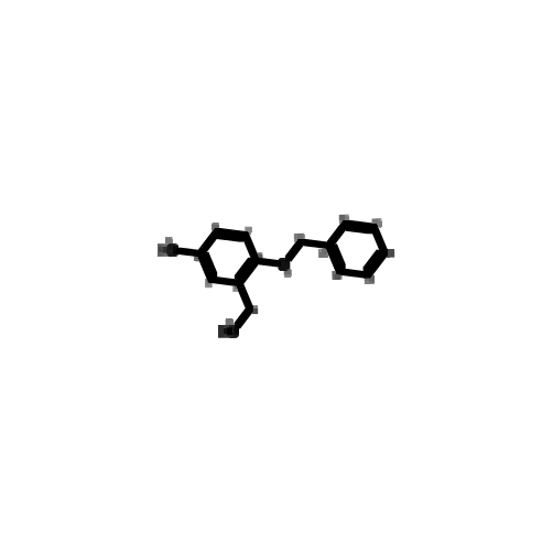 OCc1cc(O)ccc1OCc1ccccc1